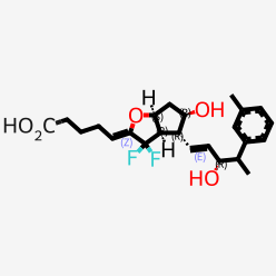 Cc1cccc(C(C)[C@H](O)/C=C/[C@@H]2[C@@H]3[C@H](C[C@H]2O)O/C(=C\CCCC(=O)O)C3(F)F)c1